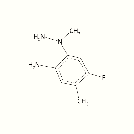 Cc1cc(N)c(N(C)N)cc1F